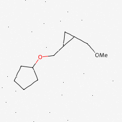 COCC1CC1COC1CCCC1